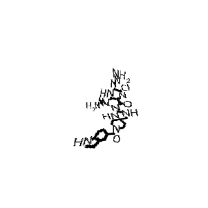 NN=NC1=C(Cl)N=C(C(=O)/N=C2\NCC3(CCN(C(=O)c4ccc5[nH]ccc5c4)CC3)N2)C(N=NN)N1